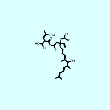 C=CC(CC(CC)OC(=O)C(/C=C(/C)C=O)C(O)CC)(OCC/C=C(\C)C(O)C(C)C=CC=C(C)C)OC(C(C)C)C(C)C